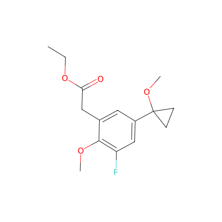 CCOC(=O)Cc1cc(C2(OC)CC2)cc(F)c1OC